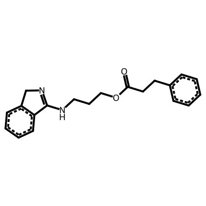 O=C(CCc1ccccc1)OCCCNC1=NCc2ccccc21